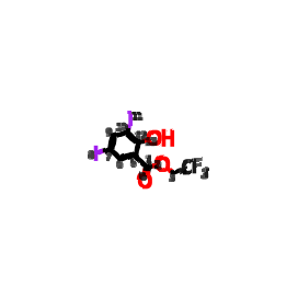 O=C(OCC(F)(F)F)c1cc(I)cc(I)c1O